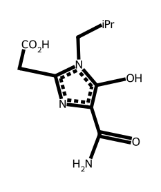 CC(C)Cn1c(CC(=O)O)nc(C(N)=O)c1O